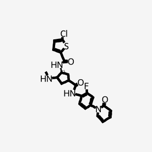 CNC1CC(C(=O)Nc2ccc(-n3ccccc3=O)cc2F)C[C@@H]1NC(=O)c1ccc(Cl)s1